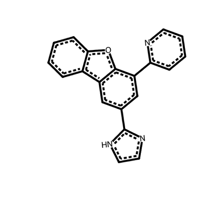 c1ccc(-c2cc(-c3ncc[nH]3)cc3c2oc2ccccc23)nc1